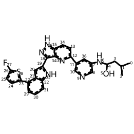 CC(C)CC(O)Nc1cncc(-c2ccc3[nH]nc(-c4cc5c(-c6ccc(F)s6)cccc5[nH]4)c3n2)c1